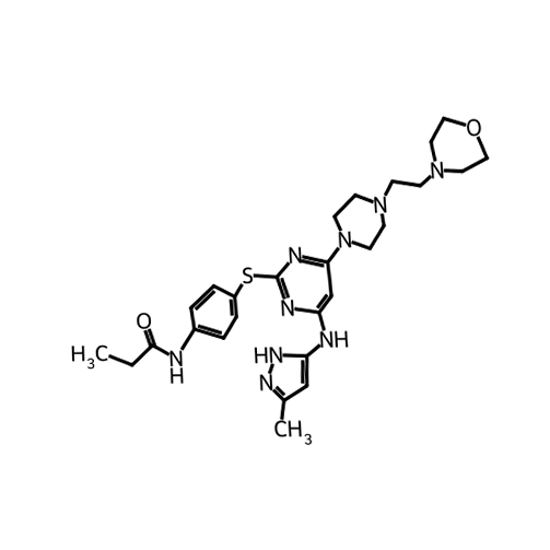 CCC(=O)Nc1ccc(Sc2nc(Nc3cc(C)n[nH]3)cc(N3CCN(CCN4CCOCC4)CC3)n2)cc1